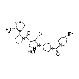 CC(C)N1CCN(C(=O)N2CCC(n3ncc(C(=O)N4CCCC4c4ccccc4C(F)(F)F)c3C3CC3)CC2)CC1.Cl